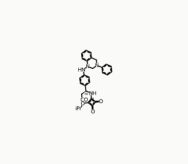 CC(C)Oc1c(N[C@@H](CC(=O)O)c2ccc(NN3CN(c4ccccc4)Cc4ccccc43)cc2)c(=O)c1=O